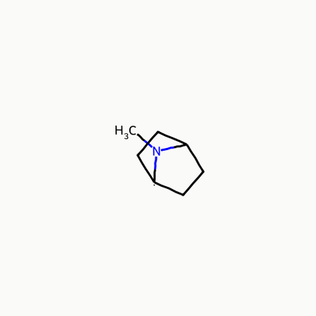 CN1[C]2CCC1CC2